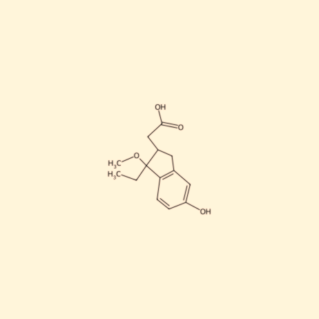 CCC1(OC)c2ccc(O)cc2CC1CC(=O)O